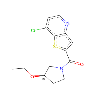 CCO[C@@H]1CCN(C(=O)c2cc3nccc(Cl)c3s2)C1